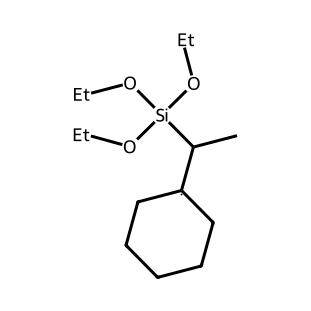 CCO[Si](OCC)(OCC)C(C)[C]1CCCCC1